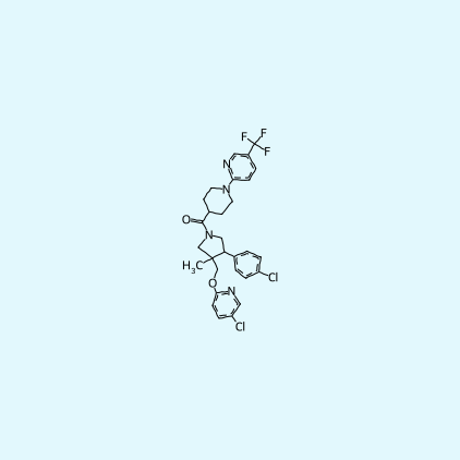 CC1(COc2ccc(Cl)cn2)CN(C(=O)C2CCN(c3ccc(C(F)(F)F)cn3)CC2)CC1c1ccc(Cl)cc1